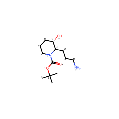 CC(C)(C)OC(=O)N1CCC[C@H](O)[C@H]1CCCN